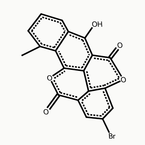 Cc1cccc2c(O)c3c(=O)oc4cc(Br)cc5c(=O)oc(c12)c3c45